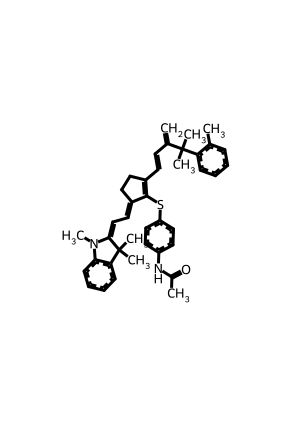 C=C(/C=C/C1=C(Sc2ccc(NC(C)=O)cc2)C(=C/C=C2/N(C)c3ccccc3C2(C)C)/CC1)C(C)(C)c1ccccc1C